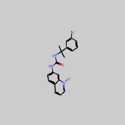 CC(=O)c1cccc(C(C)(C)NC(=O)Nc2ccc3ccc[n+]([O-])c3c2)c1